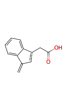 C=C1C=C(CC(=O)O)c2ccccc21